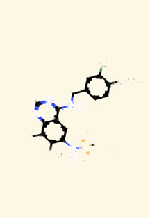 CCCc1c(OC)c(NS(C)(=O)=O)cc2c(NCc3ccc(OC)c(Cl)c3)ncnc12